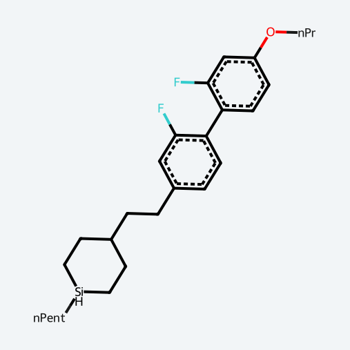 CCCCC[SiH]1CCC(CCc2ccc(-c3ccc(OCCC)cc3F)c(F)c2)CC1